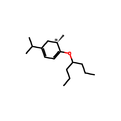 CCCC(CCC)OC1=CC=C(C(C)C)C[C@@H]1C